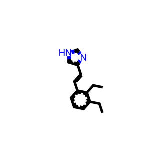 CCc1cccc(C=Cc2c[nH]cn2)c1CC